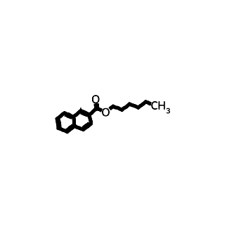 CCCCCCOC(=O)c1[c]c2ccccc2cc1